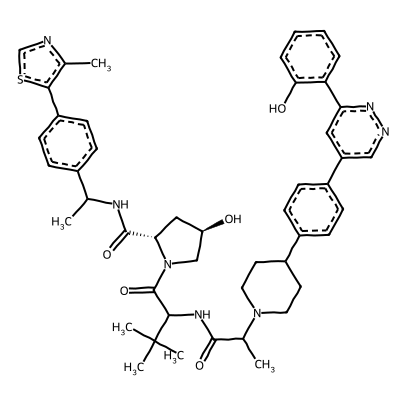 Cc1ncsc1-c1ccc(C(C)NC(=O)[C@@H]2C[C@@H](O)CN2C(=O)C(NC(=O)C(C)N2CCC(c3ccc(-c4cnnc(-c5ccccc5O)c4)cc3)CC2)C(C)(C)C)cc1